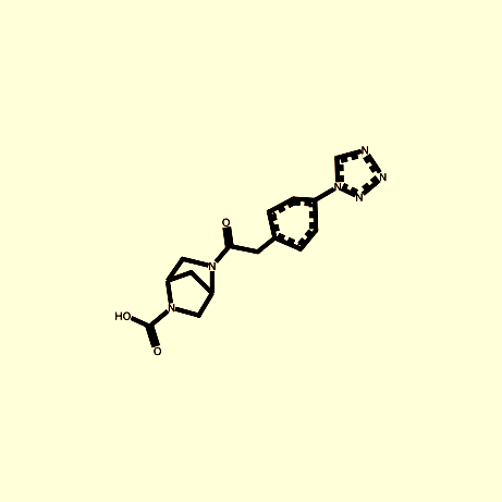 O=C(O)N1CC2CC1CN2C(=O)Cc1ccc(-n2cnnn2)cc1